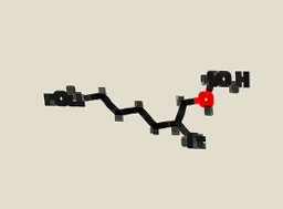 CCCCCCCCCCCCC(CC)COS(=O)(=O)O